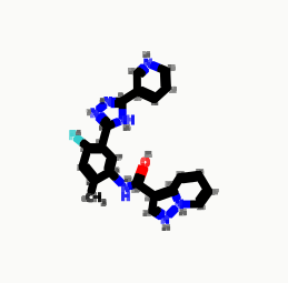 Cc1cc(F)c(-c2nnc(-c3cccnc3)[nH]2)cc1NC(=O)c1cnn2ccccc12